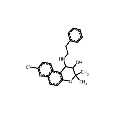 [C-]#[N+]c1ccc2c3c(ccc2n1)OC(C)(C)C(O)C3NCCc1ccccc1